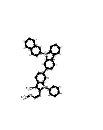 C=N/C=C\c1c(C)c2ccc(-c3ccc4c5ccccc5n(-c5ccc6ccccc6c5)c4c3)cc2n1-c1ccccc1